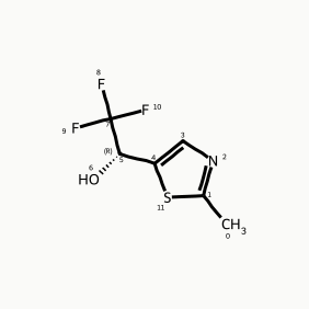 Cc1ncc([C@H](O)C(F)(F)F)s1